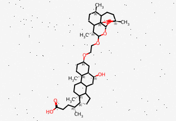 C[C@H]1C(OCCO[C@@H]2CC[C@]3(C)C4CC[C@@]5(C)C(CC[C@@H]5[C@H](C)CCC(=O)O)C4C[C@H](O)C3C2)OC2O[C@]3(C)CCC4[C@H](C)CCC1[C@@]24OO3